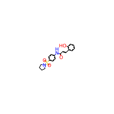 O=C(/C=C/c1ccccc1O)Nc1ccc(S(=O)(=O)N2CCCC2)cc1